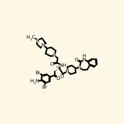 CN1CCN(C2CCN(CC(=O)N[C@@H](CC(=O)c3cc(Br)c(N)c(Br)c3)C(=O)N3CCC(N4CCc5ccccc5NC4=O)CC3)CC2)CC1